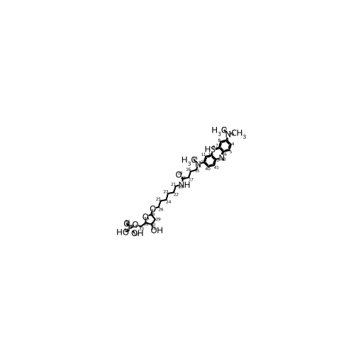 CN(C)c1ccc2c(c1)=[SH]c1cc(N(C)CCCC(=O)NCCCCCCOC3CC(O)C(COP(=O)(O)O)O3)ccc1N=2